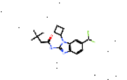 CC(C)(C)CC(=O)Nc1nc2ccc(C(F)F)cc2n1C1CCC1